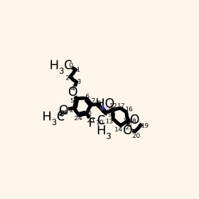 CCCCOc1cc(/C=C(\C)C2(O)CCC3(CC2)OCCO3)c(F)cc1OC